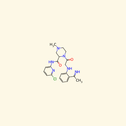 CC(=N)c1ccccc1NCC(=O)N1CCN(C)CC1C(=O)Nc1cccc(Cl)n1